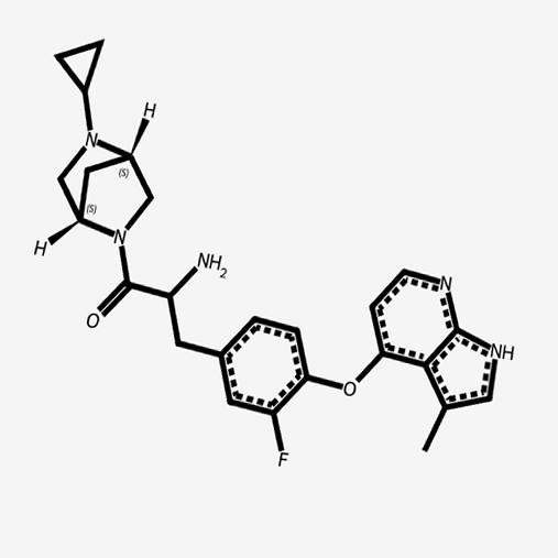 Cc1c[nH]c2nccc(Oc3ccc(CC(N)C(=O)N4C[C@@H]5C[C@H]4CN5C4CC4)cc3F)c12